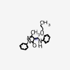 CCCOc1ccccc1N/C=C1\C(=O)N(c2ccccc2)N=C1C